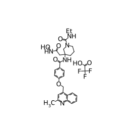 CCNC(=O)N1CCCC(CC(=O)NO)(NC(=O)c2ccc(OCc3cc(C)nc4ccccc34)cc2)C1.O=C(O)C(F)(F)F